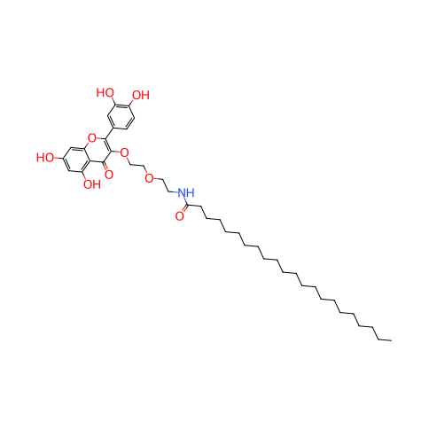 CCCCCCCCCCCCCCCCCCCCCC(=O)NCCOCCOc1c(-c2ccc(O)c(O)c2)oc2cc(O)cc(O)c2c1=O